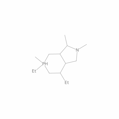 CCC1C[PH](C)(CC)CC2C1CN(C)C2C